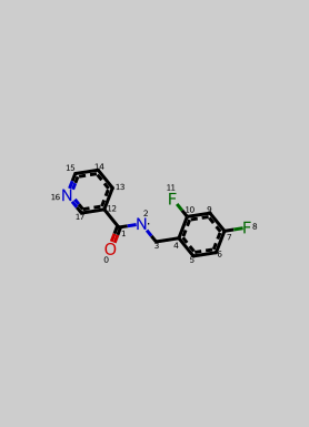 O=C([N]Cc1ccc(F)cc1F)c1cccnc1